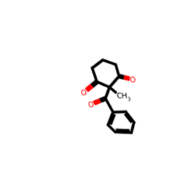 CC1(C(=O)c2ccccc2)C(=O)CCCC1=O